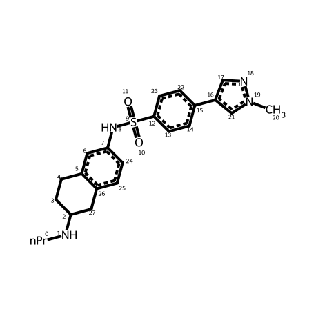 CCCNC1CCc2cc(NS(=O)(=O)c3ccc(-c4cnn(C)c4)cc3)ccc2C1